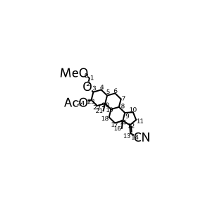 COCOC1CC2CCC3C4CCC(=CC#N)C4(C)CCC3C2(C)CC1OC(C)=O